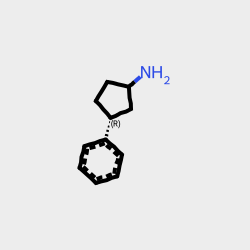 NC1CC[C@@H](c2ccccc2)C1